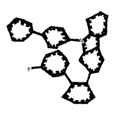 Brc1cccc(-c2ccccc2-c2ccc3c4ccccc4n(-c4ccc(-c5ccccc5)cc4)c3c2)c1